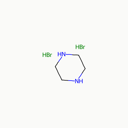 Br.Br.C1CNCCN1